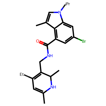 CCC1=C(CNC(=O)c2cc(Br)cc3c2c(C)cn3C(C)C)C(C)NC(C)=C1